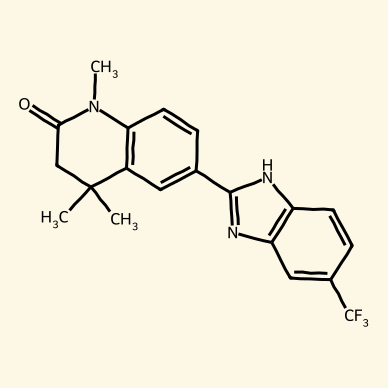 CN1C(=O)CC(C)(C)c2cc(-c3nc4cc(C(F)(F)F)ccc4[nH]3)ccc21